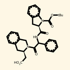 CC(C)(C)OC(=O)N1c2ccccc2C[C@@H]1C(=O)NC(C(=O)N1Cc2ccccc2C[C@@H]1CC(=O)O)c1ccccc1